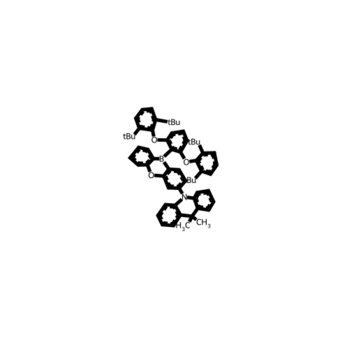 CC(C)(C)c1cccc(C(C)(C)C)c1Oc1cccc(Oc2c(C(C)(C)C)cccc2C(C)(C)C)c1B1c2ccccc2Oc2cc(N3c4ccccc4C(C)(C)c4ccccc43)ccc21